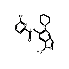 Cn1ncc2cc(N3CCCCC3)c(NC(=O)c3cccc(Br)n3)cc21